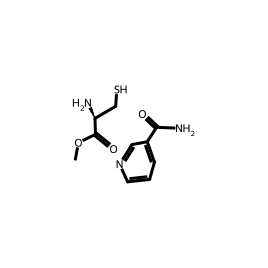 COC(=O)[C@@H](N)CS.NC(=O)c1cccnc1